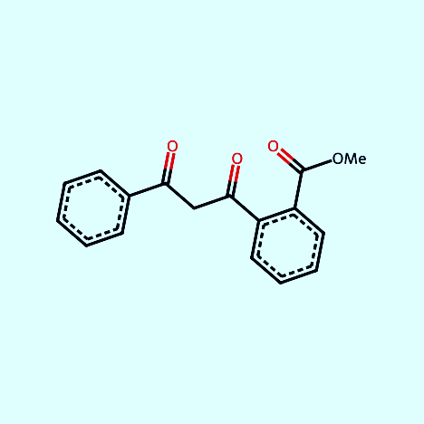 COC(=O)c1ccccc1C(=O)CC(=O)c1ccccc1